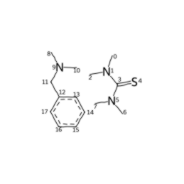 CN(C)C(=S)N(C)C.CN(C)Cc1ccccc1